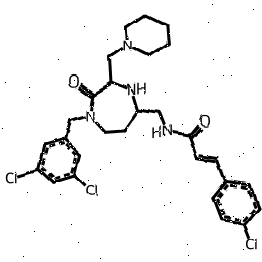 O=C(/C=C/c1ccc(Cl)cc1)NCC1CCN(Cc2cc(Cl)cc(Cl)c2)C(=O)C(CN2CCCCC2)N1